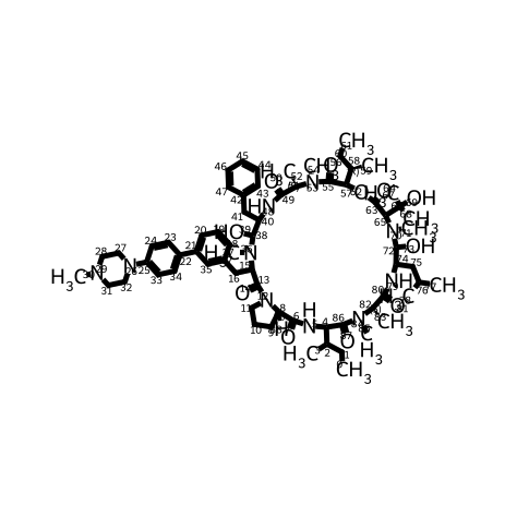 CCC(C)C1NC(=O)[C@@H]2CCCN2C(=O)C(Cc2cccc(-c3ccc(N4CCN(C)CC4)cc3)c2)N(C)C(O)C(Cc2ccccc2)NC(=O)[C@H](C)N(C)C(=O)C([C@H](C)CC)OC(=O)C(C(C)(C)O)N(C)C(O)C(CC(C)C)NC(=O)[C@H](C)N(C)C1=O